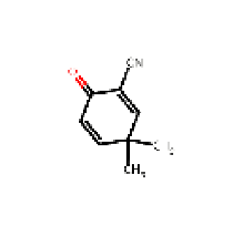 CC1(C)C=CC(=O)C(C#N)=C1